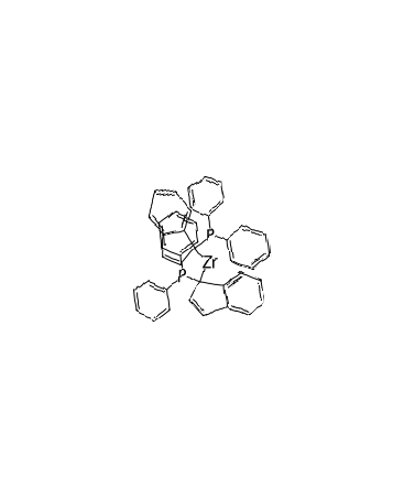 C1=C[C]([Zr][C]2(P(c3ccccc3)c3ccccc3)C=Cc3ccccc32)(P(c2ccccc2)c2ccccc2)c2ccccc21